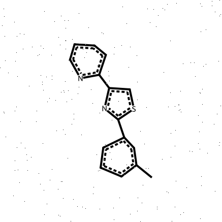 Cc1cccc(-c2nc(-c3ccccn3)cs2)c1